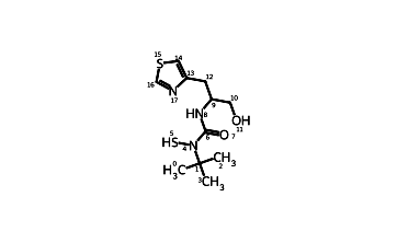 CC(C)(C)N(S)C(=O)NC(CO)Cc1cscn1